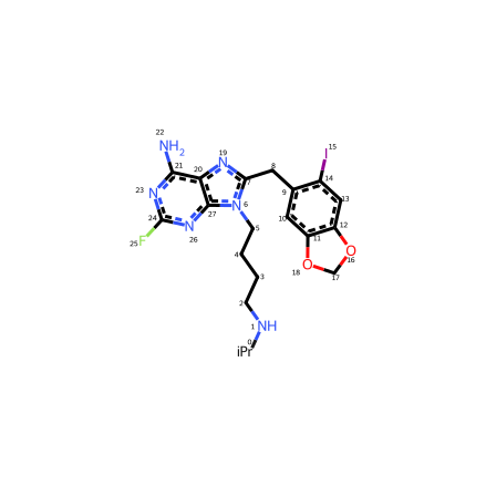 CC(C)NCCCCn1c(Cc2cc3c(cc2I)OCO3)nc2c(N)nc(F)nc21